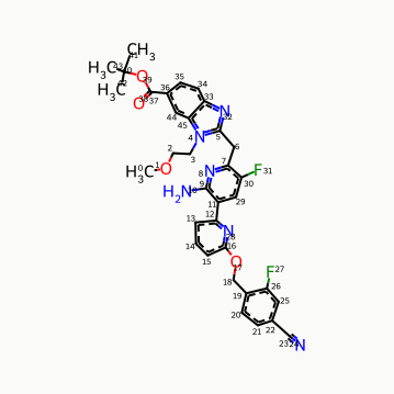 COCCn1c(Cc2nc(N)c(-c3cccc(OCc4ccc(C#N)cc4F)n3)cc2F)nc2ccc(C(=O)OC(C)(C)C)cc21